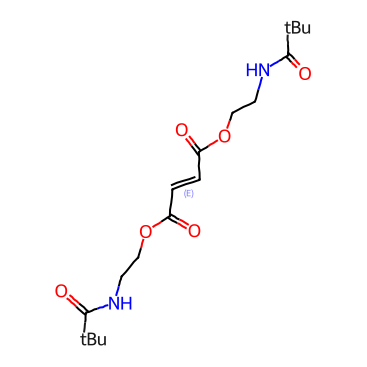 CC(C)(C)C(=O)NCCOC(=O)/C=C/C(=O)OCCNC(=O)C(C)(C)C